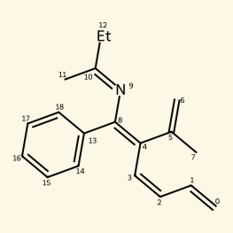 C=C\C=C/C(C(=C)C)=C(/N=C(\C)CC)c1ccccc1